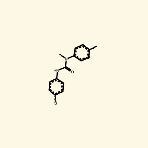 Cc1ccc(N(C)C(=O)Nc2ccc(Cl)cc2)cc1